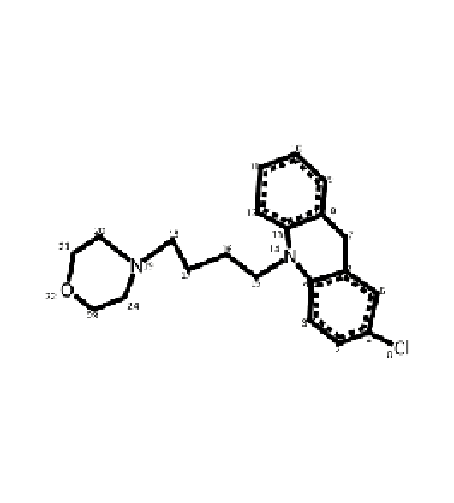 Clc1ccc2c(c1)Cc1ccccc1N2CCCCN1CCOCC1